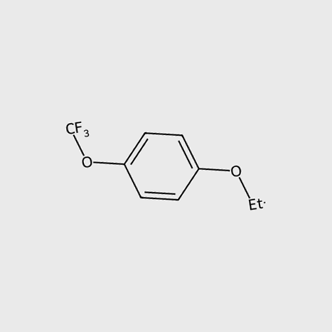 C[CH]Oc1ccc(OC(F)(F)F)cc1